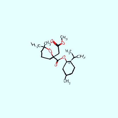 COC(=O)CC1(C(=O)OC2CC(C)CC[C@@H]2C(C)C)CCCC(C)(C)O1